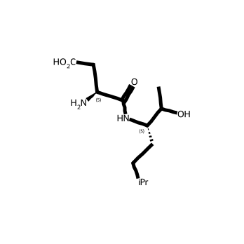 CC(C)CC[C@H](NC(=O)[C@@H](N)CC(=O)O)C(C)O